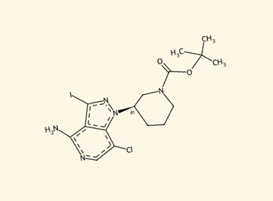 CC(C)(C)OC(=O)N1CCC[C@@H](n2nc(I)c3c(N)ncc(Cl)c32)C1